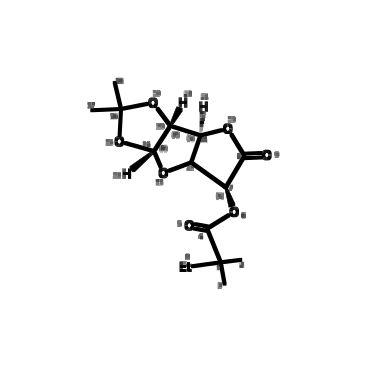 CCC(C)(C)C(=O)O[C@@H]1C(=O)O[C@H]2C1O[C@@H]1OC(C)(C)O[C@@H]12